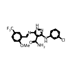 COc1ccc(C(F)(F)F)cc1/C=N/c1[nH]nc(Nc2cccc(Cl)c2)c1C(N)=O